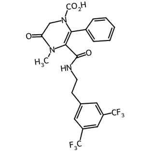 CN1C(=O)CN(C(=O)O)C(c2ccccc2)=C1C(=O)NCCc1cc(C(F)(F)F)cc(C(F)(F)F)c1